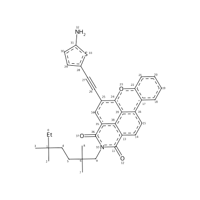 CCC(C)(C)CCC(C)(C)Cn1c(=O)c2ccc3c4ccccc4oc4c(C#Cc5ccc(N)s5)cc(c1=O)c2c43